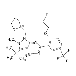 Cn1c(C(C)(C)C)cc(=NC(=NC#N)c2cc(C(F)(F)F)ccc2OCCF)n1C[C@H]1CCCO1